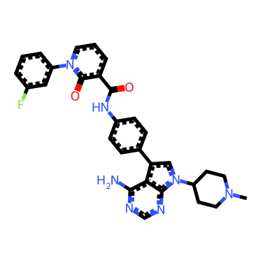 CN1CCC(n2cc(-c3ccc(NC(=O)c4cccn(-c5cccc(F)c5)c4=O)cc3)c3c(N)ncnc32)CC1